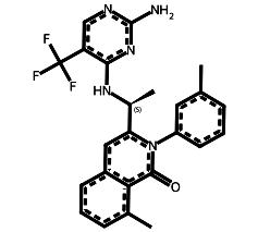 Cc1cccc(-n2c([C@H](C)Nc3nc(N)ncc3C(F)(F)F)cc3cccc(C)c3c2=O)c1